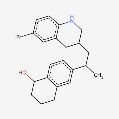 CC(C)c1ccc2c(c1)CC(CC(C)c1ccc3c(c1)CCCC3O)CN2